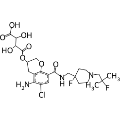 CC(C)(F)CN1CCC(F)(CNC(=O)c2cc(Cl)c(N)c3c2OCC(OC(=O)C(O)C(O)C(=O)O)C3)CC1